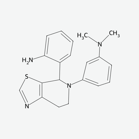 CN(C)c1cccc(N2CCc3ncsc3C2c2ccccc2N)c1